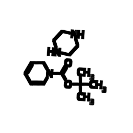 C1CNCCN1.CC(C)(C)OC(=O)N1C=CC=CC1